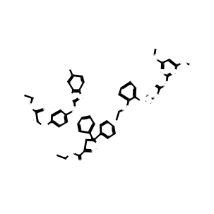 CCOC(=O)C1=NOC(c2ccccc2)(c2ccccc2)C1.CCOC(=O)[C@@H](C)Oc1ccc(Oc2nc3ccc(Cl)cc3o2)cc1.CCOc1ccccc1OS(=O)(=O)NC(=O)Nc1nc(OC)cc(OC)n1